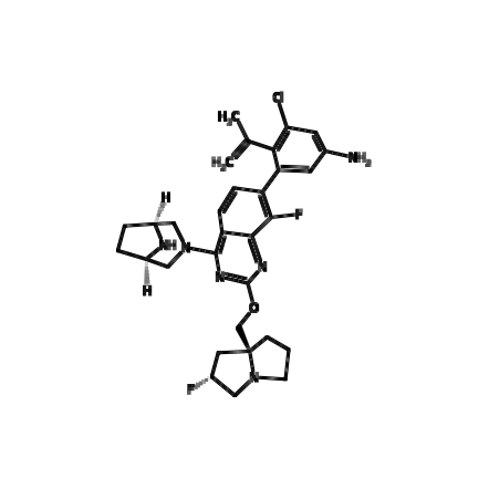 C=C(C)c1c(Cl)cc(N)cc1-c1ccc2c(N3C[C@H]4CC[C@@H](C3)N4)nc(OC[C@@]34CCCN3C[C@H](F)C4)nc2c1F